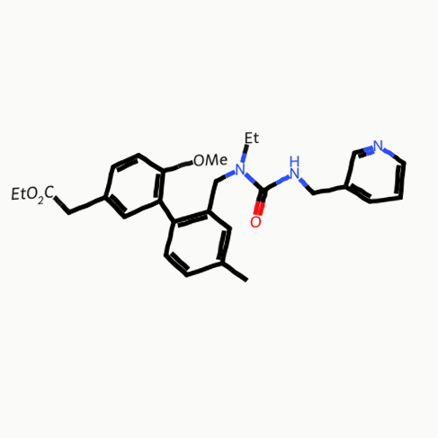 CCOC(=O)Cc1ccc(OC)c(-c2ccc(C)cc2CN(CC)C(=O)NCc2cccnc2)c1